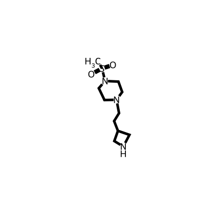 CS(=O)(=O)N1CCN(CCC2CNC2)CC1